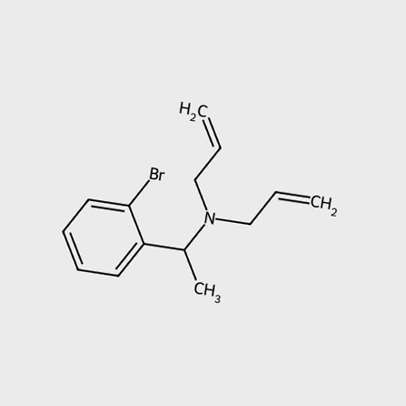 C=CCN(CC=C)C(C)c1ccccc1Br